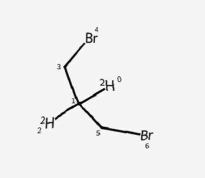 [2H]C([2H])(CBr)CBr